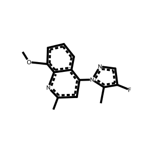 COc1cccc2c(-n3ncc(F)c3C)cc(C)nc12